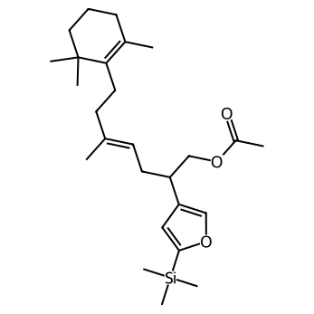 CC(=O)OCC(CC=C(C)CCC1=C(C)CCCC1(C)C)c1coc([Si](C)(C)C)c1